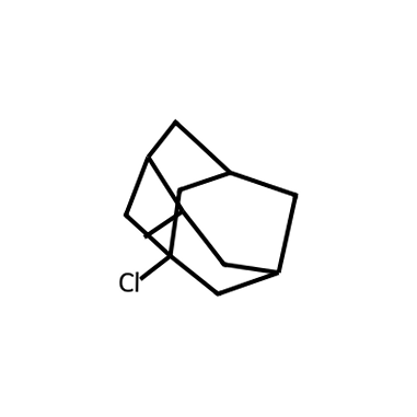 CC1CC2CC3CC1CC(Cl)(C2)C3